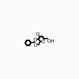 O=c1cc(CO)oc2c1OC(c1ccccc1)OC2